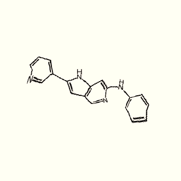 c1ccc(Nc2cc3[nH]c(-c4cccnc4)cc3cn2)cc1